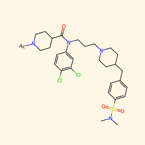 CC(=O)N1CCC(C(=O)N(CCCN2CCC(Cc3ccc(S(=O)(=O)N(C)C)cc3)CC2)c2ccc(Cl)c(Cl)c2)CC1